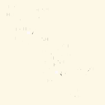 C[C@@H]1CC[C@@H](/C(CNC(=O)C(C)(C)CC(=O)NC/C(=C(/O)C(F)(F)F)[C@@H]2CC[C@@H](C)[C@@H]3CCC(C)(O)OC[C@]23O)=C(\O)C(F)(F)F)[C@@]2(O)CO[C@@H](C)CC[C@@H]12